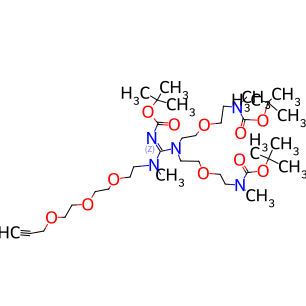 C#CCOCCOCCOCCN(C)/C(=N/C(=O)OC(C)(C)C)N(CCOCCN(C)C(=O)OC(C)(C)C)CCOCCN(C)C(=O)OC(C)(C)C